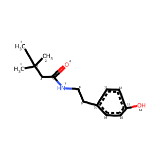 CC(C)(C)CC(=O)NCCc1ccc(O)cc1